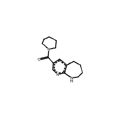 O=C(c1cnc2c(c1)CCCCN2)N1CCCCC1